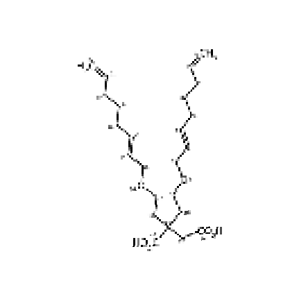 C=CCCCC=CCOCCC(CCOCC=CCCCC=C)(CC(=O)O)C(=O)O